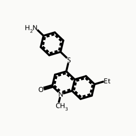 CCc1ccc2c(c1)c(Sc1ccc(N)cc1)cc(=O)n2C